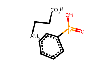 O=C(O)C[CH2][AlH2].O=[PH](O)c1ccccc1